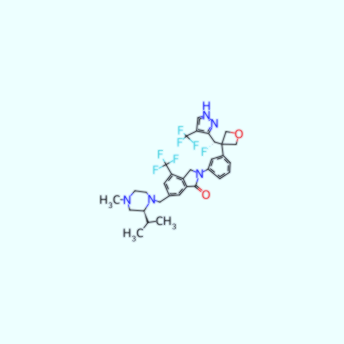 CC(C)[C@H]1CN(C)CCN1Cc1cc2c(c(C(F)(F)F)c1)CN(c1cccc(C3([C@H](F)c4n[nH]cc4C(F)(F)F)COC3)c1)C2=O